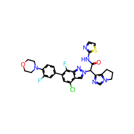 O=C(Nc1nccs1)C(c1ncn2c1CCC2)n1cc2c(Cl)cc(-c3ccc(N4CCOCC4)c(F)c3)c(F)c2n1